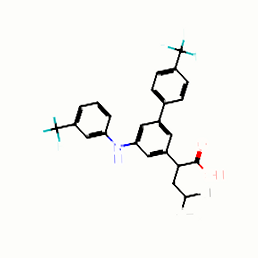 CC(C)CC(C(=O)O)c1cc(Nc2cccc(C(F)(F)F)c2)cc(-c2ccc(C(F)(F)F)cc2)c1